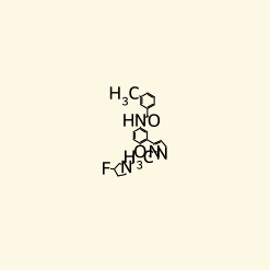 Cc1cccc(C(=O)Nc2ccc(OCCN3CCC(F)C3)c(-c3ccnn3C)c2)c1